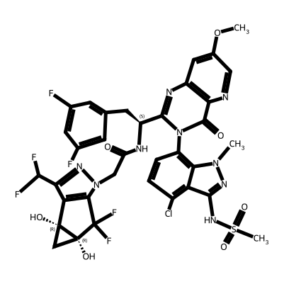 COc1cnc2c(=O)n(-c3ccc(Cl)c4c(NS(C)(=O)=O)nn(C)c34)c([C@H](Cc3cc(F)cc(F)c3)NC(=O)Cn3nc(C(F)F)c4c3C(F)(F)[C@@]3(O)C[C@@]43O)nc2c1